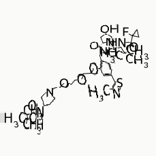 Cc1ncsc1-c1ccc(CNC(=O)[C@@H]2C[C@@H](O)CN2C(=O)[C@@H](NC(=O)C2(F)CC2)C(C)(C)C)c(OCCOCCOCCN2CCC(NC(=O)OC(C)(C)C)CC2)c1